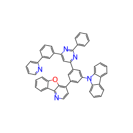 c1ccc(-c2nc(-c3cccc(-c4ccccn4)c3)cc(-c3cc(-c4ccnc5c4oc4ccccc45)cc(-n4c5ccccc5c5ccccc54)c3)n2)cc1